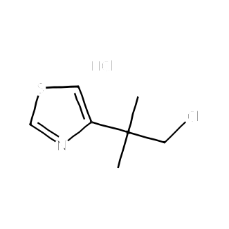 CC(C)(CCl)c1cscn1.Cl